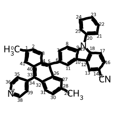 Cc1ccc2c(-c3ccc4c(c3)c3cc(C#N)ccc3n4-c3ccccc3)c3cc(C)ccc3c(-c3ccncc3)c2c1